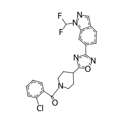 O=C(c1ccccc1Cl)N1CCC(c2nc(-c3ccc4cnn(C(F)F)c4c3)no2)CC1